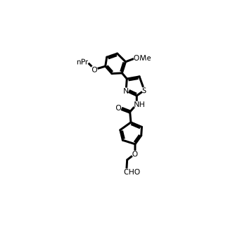 CCCOc1ccc(OC)c(-c2csc(NC(=O)c3ccc(OCC=O)cc3)n2)c1